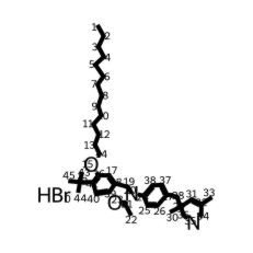 Br.CCCCCCCCCCCCCCOc1cc(CN(C(C)=O)c2ccc(CC3(C)C=C(C)C=NC3)cc2)ccc1C(C)(C)C